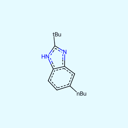 CCCCc1ccc2[nH]c(C(C)(C)C)nc2c1